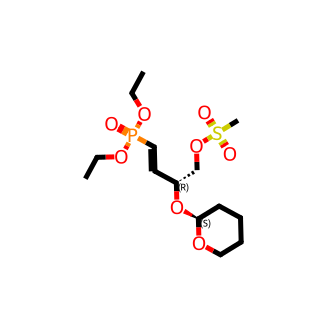 CCOP(=O)(C=C[C@H](COS(C)(=O)=O)O[C@H]1CCCCO1)OCC